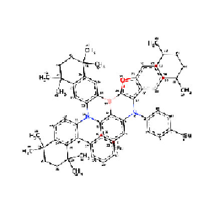 CC(C)(C)c1ccc(N2c3cc(C(C)(C)C)cc4c3B(c3cc5c(cc3N4c3ccc4c(c3-c3ccccc3)C(C)(C)CCC4(C)C)C(C)(C)CCC5(C)C)c3oc4cc5c(cc4c32)C2(C)CCC5(C)CC2)cc1